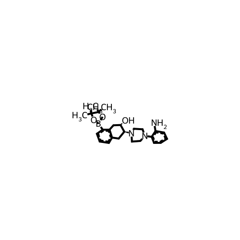 CC1(C)OB(c2cccc3c2C[C@H](O)[C@@H](N2CCN(c4ccccc4N)CC2)C3)OC1(C)C